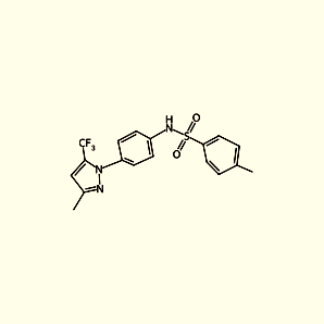 Cc1ccc(S(=O)(=O)Nc2ccc(-n3nc(C)cc3C(F)(F)F)cc2)cc1